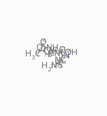 CC1OC(=O)C2=C1CS[C@H](CNC(=O)/C(=N\O)c1csc(N)n1)N2